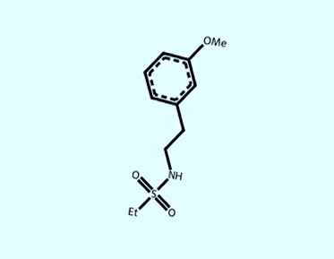 CCS(=O)(=O)NCCc1cccc(OC)c1